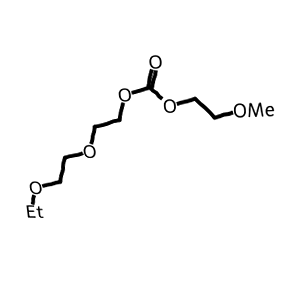 CCOCCOCCOC(=O)OCCOC